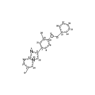 Cc1ccc2nc(-c3ccc(OCc4ccccc4)c(C)c3)cn2c1